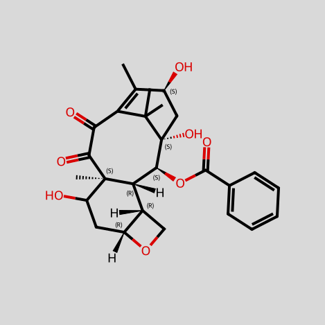 CC1=C2C(=O)C(=O)[C@]3(C)C(O)C[C@H]4OC[C@H]4[C@H]3[C@H](OC(=O)c3ccccc3)[C@](O)(C[C@@H]1O)C2(C)C